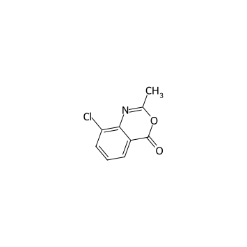 Cc1nc2c(Cl)cccc2c(=O)o1